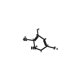 C[CH]C1=C(C)C=C(F)CN1